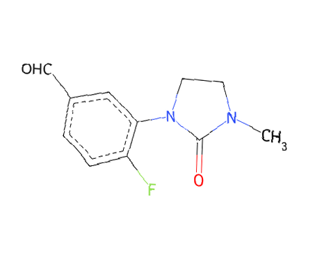 CN1CCN(c2cc(C=O)ccc2F)C1=O